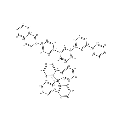 c1ccc(-c2cccc(-c3nc(-c4ccc(-c5ccc6ccccc6c5)cc4)nc(-c4cccc5c4-c4ccccc4[Si]5(c4ccccc4)c4ccccc4)n3)c2)cc1